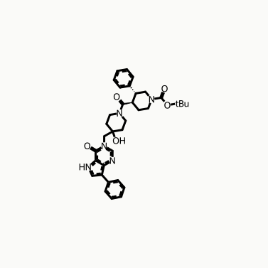 CC(C)(C)OC(=O)N1CC[C@@H](C(=O)N2CCC(O)(Cn3cnc4c(-c5ccccc5)c[nH]c4c3=O)CC2)[C@H](c2ccccc2)C1